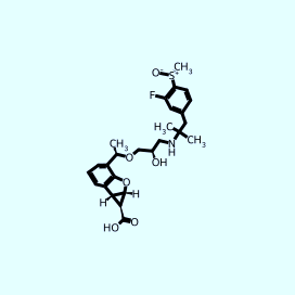 C[C@@H](OC[C@H](O)CNC(C)(C)Cc1ccc([S+](C)[O-])c(F)c1)c1cccc2c1O[C@@H]1[C@@H](C(=O)O)[C@H]21